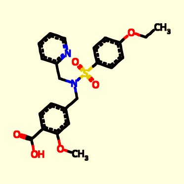 CCOc1ccc(S(=O)(=O)N(Cc2ccc(C(=O)O)c(OC)c2)Cc2ccccn2)cc1